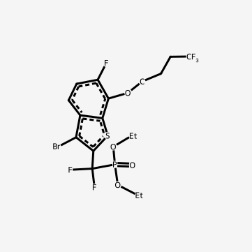 CCOP(=O)(OCC)C(F)(F)c1sc2c(OCCCC(F)(F)F)c(F)ccc2c1Br